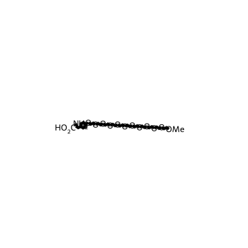 COCCOCCOCCOCCOCCOCCOCCOCCOCCOCCOCCOc1ccc(CC(N)C(=O)O)cc1